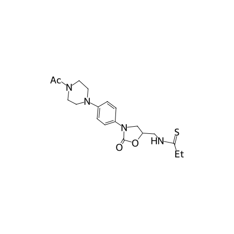 CCC(=S)NCC1CN(c2ccc(N3CCN(C(C)=O)CC3)cc2)C(=O)O1